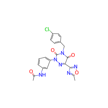 CC(=O)Nc1cccc(-n2nc(-c3noc(C)n3)c(=O)n(Cc3ccc(Cl)cc3)c2=O)c1